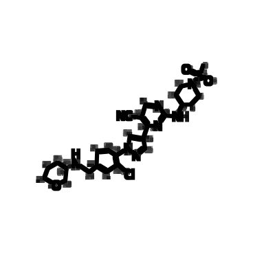 CS(=O)(=O)N1CCC(Nc2ncc(C#N)c(-c3cnn(-c4ccc(CN[C@H]5CCCOC5)cc4Cl)c3)n2)CC1